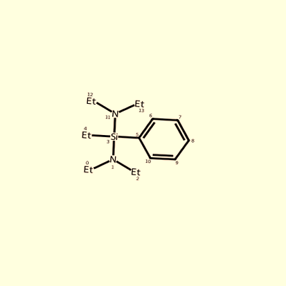 CCN(CC)[Si](CC)(c1ccccc1)N(CC)CC